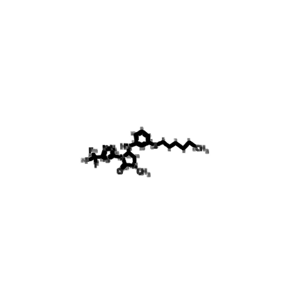 CCCCCCSc1cccc(NC2CN(C)C(=O)N2c2nnc(C(F)(F)F)s2)c1